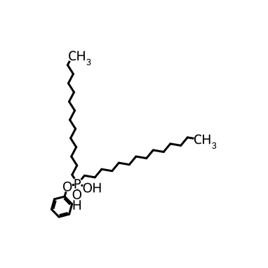 CCCCCCCCCCCCCCP(O)(O)(CCCCCCCCCCCCCC)Oc1ccccc1